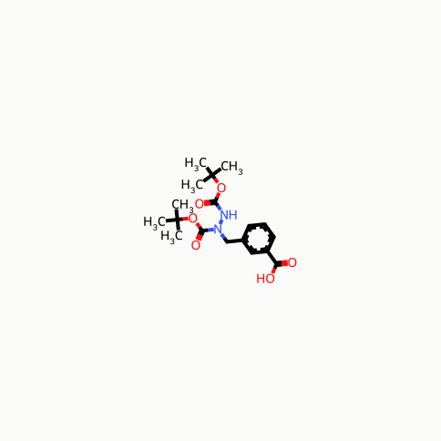 CC(C)(C)OC(=O)NN(Cc1cccc(C(=O)O)c1)C(=O)OC(C)(C)C